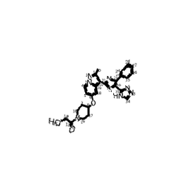 Cc1nn2ccc(OC3CCN(C(=O)CO)CC3)cc2c1-c1nc(-c2ccccc2)c(-c2nnc[nH]2)s1